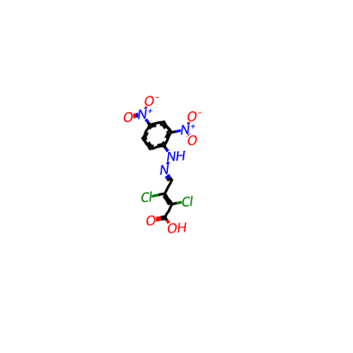 O=C(O)C(Cl)=C(Cl)C=NNc1ccc([N+](=O)[O-])cc1[N+](=O)[O-]